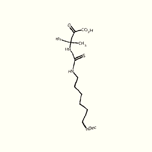 CCCCCCCCCCCCCCCCNC(=S)NC(C)(CCC)C(=O)C(=O)O